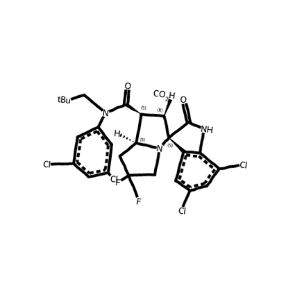 CC(C)(C)CN(C(=O)[C@H]1[C@@H](C(=O)O)[C@]2(C(=O)Nc3c(Cl)cc(Cl)cc32)N2CC(F)(F)C[C@@H]12)c1cc(Cl)cc(Cl)c1